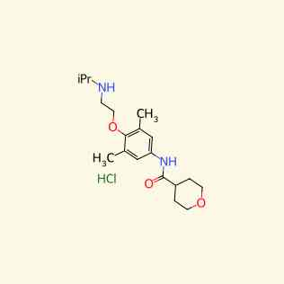 Cc1cc(NC(=O)C2CCOCC2)cc(C)c1OCCNC(C)C.Cl